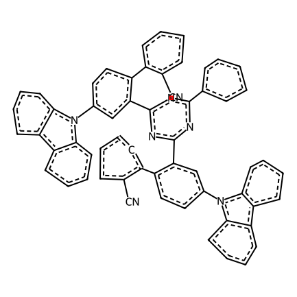 N#Cc1ccccc1-c1ccc(-n2c3ccccc3c3ccccc32)cc1-c1nc(-c2ccccc2)nc(-c2cc(-n3c4ccccc4c4ccccc43)ccc2-c2ccccc2C#N)n1